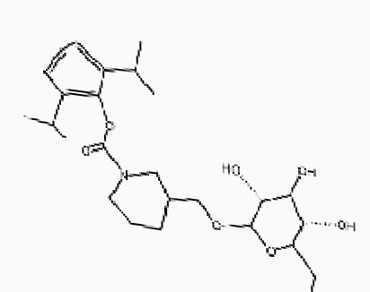 CC(C)c1cccc(C(C)C)c1OC(=O)N1CCCC(COC2OC(CO)[C@@H](O)C(O)[C@H]2O)C1